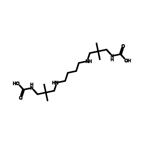 CC(C)(CNCCCCNCC(C)(C)CNC(=O)O)CNC(=O)O